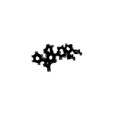 C[C@@H]1OCC2(CCN(c3nc4[nH]cc(-c5ccccc5)c4c4nccn34)CC2)[C@@H]1N